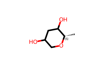 C[C@@H]1OCC(O)CC1O